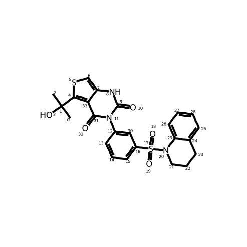 CC(C)(O)c1scc2[nH]c(=O)n(-c3cccc(S(=O)(=O)N4CCCc5ccccc54)c3)c(=O)c12